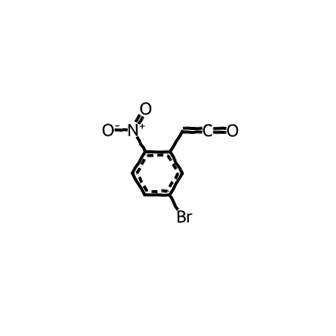 O=C=Cc1cc(Br)ccc1[N+](=O)[O-]